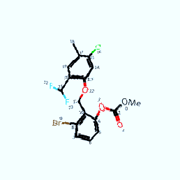 COC(=O)Oc1cccc(Br)c1COc1cc(Cl)c(C)cc1C(F)F